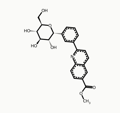 COC(=O)c1ccc2nc(-c3cccc([C@H]4O[C@H](CO)[C@@H](O)[C@H](O)[C@H]4O)c3)ccc2c1